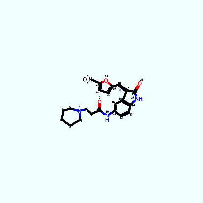 O=C(CCN1CCCCC1)Nc1ccc2c(c1)/C(=C\c1ccc([N+](=O)[O-])o1)C(=O)N2